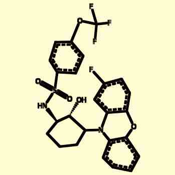 O=S(=O)(N[C@@H]1CCCC(N2c3ccccc3Oc3ccc(F)cc32)[C@H]1O)c1ccc(OC(F)(F)F)cc1